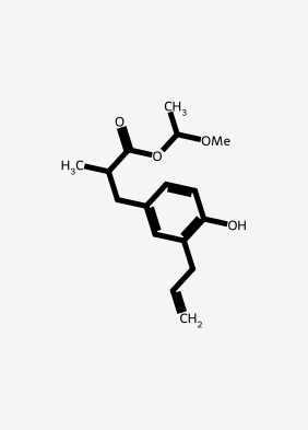 C=CCc1cc(CC(C)C(=O)OC(C)OC)ccc1O